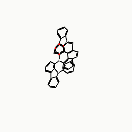 c1ccc(-n2c3ccccc3c3cccc(N(c4ccc5c(c4)sc4ccccc45)c4cccc5ccc6ccc7ccccc7c6c45)c32)cc1